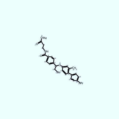 COC(=O)CCNC(=O)c1ccc(C(CC(C)C)Oc2ccc(-c3ccc(C(C)C)cc3)c(C)c2)cc1